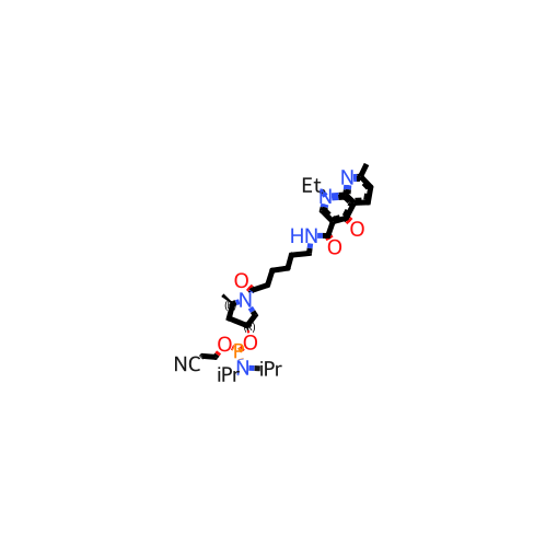 CCn1cc(C(=O)NCCCCCC(=O)N2C[C@H](OP(OCCC#N)N(C(C)C)C(C)C)C[C@H]2C)c(=O)c2ccc(C)nc21